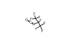 O=C=NC(F)(C(F)(F)F)C(F)(F)F